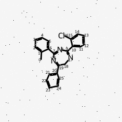 Cc1ccccc1C1=NC(c2ccccc2Cl)=NCC(c2ccccc2)=N1